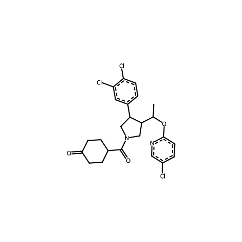 CC(Oc1ccc(Cl)cn1)C1CN(C(=O)C2CCC(=O)CC2)CC1c1ccc(Cl)c(Cl)c1